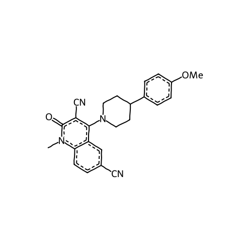 COc1ccc(C2CCN(c3c(C#N)c(=O)n(C)c4ccc(C#N)cc34)CC2)cc1